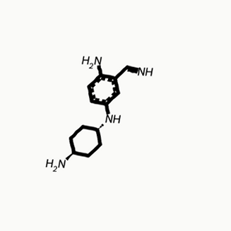 N=Cc1cc(N[C@H]2CC[C@H](N)CC2)ccc1N